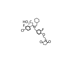 O=C(O)CC(c1ccc(Cl)c(F)c1)N(Cc1ccc(OCCN2C(=O)CCC2=O)c(F)c1)CC1CCCCC1